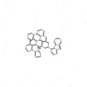 c1ccc(-c2ccccc2N(c2cccc(-c3cccc4sc5ccccc5c34)c2)c2ccccc2-c2cccc3cccc(-c4ccccc4)c23)cc1